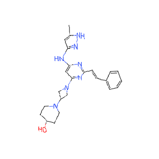 Cc1cc(Nc2cc(N3CC(N4CCC(O)CC4)C3)nc(C=Cc3ccccc3)n2)n[nH]1